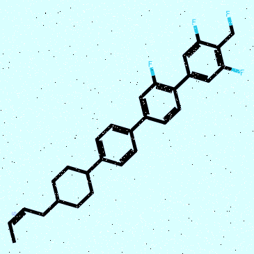 C/C=C\CC1CCC(c2ccc(-c3ccc(-c4cc(F)c(CF)c(F)c4)c(F)c3)cc2)CC1